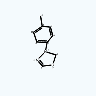 Cc1ccc(N2COC=N2)cc1